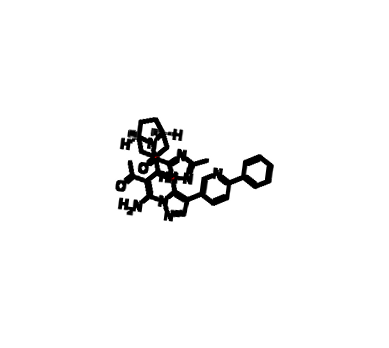 CC(=O)c1c(C2C[C@H]3CC[C@@H](C2)N3C(=O)c2nc(C)n[nH]2)nc2c(-c3ccc(-c4ccccc4)nc3)cnn2c1N